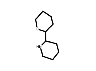 [CH]1CCNC(C2CCCCO2)C1